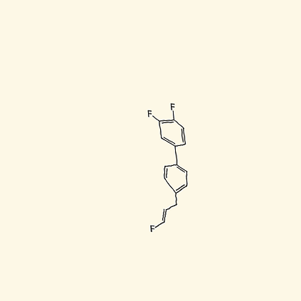 FC=CCc1ccc(-c2ccc(F)c(F)c2)cc1